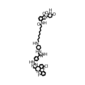 N=N/C(=C\N[C@H]1CC[C@@H](NCCCCCCCCCC(=O)Nc2cccc3c2CN(C2CCC(=O)NC2=O)C3=O)CC1)c1ccc(Nc2ncc3c(n2)-c2ccc(Cl)cc2C(c2c(F)cccc2F)=NC3)cc1